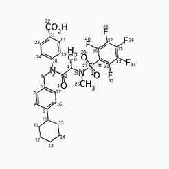 C[C@H](C(=O)N(Cc1ccc(C2CCCCC2)cc1)c1ccc(C(=O)O)cc1)N(C)S(=O)(=O)c1c(F)c(F)c(F)c(F)c1F